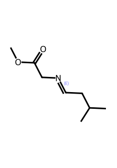 COC(=O)C/N=C/CC(C)C